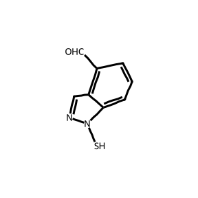 O=Cc1cccc2c1cnn2S